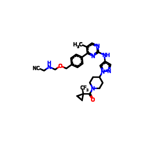 Cc1cnc(Nc2cnn(C3CCN(C(=O)C4(C(F)(F)F)CC4)CC3)c2)nc1-c1ccc(COCNCC#N)cc1